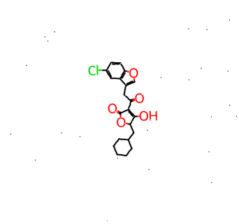 O=C(Cc1coc2ccc(Cl)cc12)C1=C(O)C(CC2CCCCC2)OC1=O